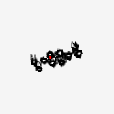 c1ccc([Si](c2ccccc2)(c2cccc3c2sc2ccc(-n4c5ccccc5c5ccncc54)cc23)c2cccc3c2sc2ccc(-n4c5ccccc5c5ccncc54)cc23)cc1